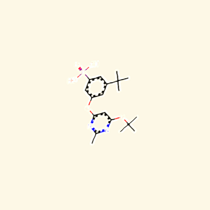 Cc1nc(Oc2cc(C(C)(C)C)cc(P(=O)(O)O)c2)cc(OC(C)(C)C)n1